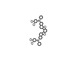 COc1ccc(N(c2ccccc2)c2ccc3c(ccc4c3oc3ccc5oc6c7ccc(N(c8ccccc8)c8ccc(OC)c(OC)c8)cc7ccc6c5c34)c2)cc1OC